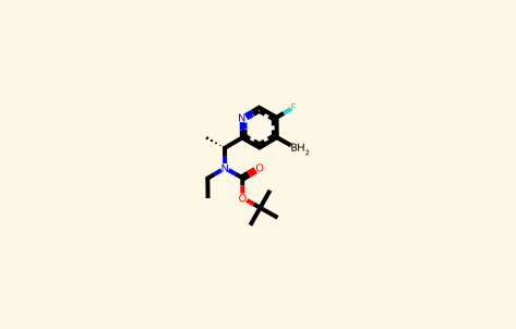 Bc1cc([C@@H](C)N(CC)C(=O)OC(C)(C)C)ncc1F